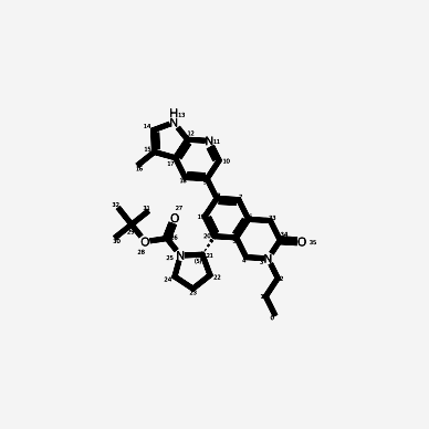 CCCN1Cc2c(cc(-c3cnc4[nH]cc(C)c4c3)cc2[C@@H]2CCCN2C(=O)OC(C)(C)C)CC1=O